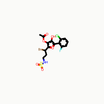 CC(=O)Oc1c(C(Br)CCN[SH](=O)=O)oc(-c2c(F)cccc2Cl)c1O